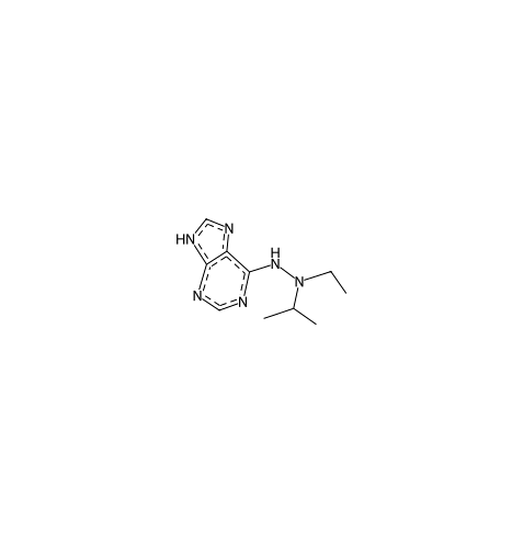 CCN(Nc1ncnc2[nH]cnc12)C(C)C